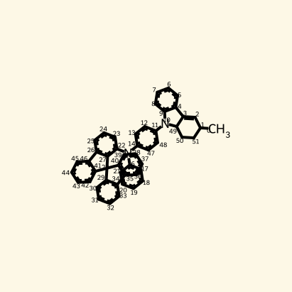 CC1C=C2c3ccccc3N(c3ccc(N(c4ccccc4)c4cccc5c4C4(c6ccccc6-c6ccccc64)c4ccccc4-5)cc3)C2CC1